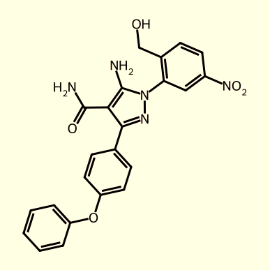 NC(=O)c1c(-c2ccc(Oc3ccccc3)cc2)nn(-c2cc([N+](=O)[O-])ccc2CO)c1N